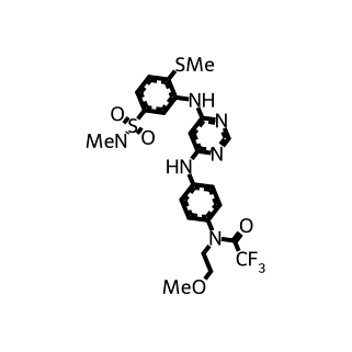 CNS(=O)(=O)c1ccc(SC)c(Nc2cc(Nc3ccc(N(CCOC)C(=O)C(F)(F)F)cc3)ncn2)c1